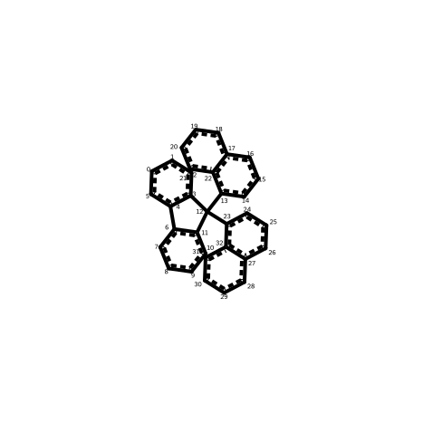 c1ccc2c(c1)-c1ccccc1C2(c1cccc2ccccc12)c1cccc2ccccc12